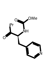 COC(=O)N[C@@H](Cc1ccncc1)C(=O)C(C)C